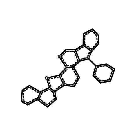 c1ccc(-n2c3ccccc3c3cnc4c(ccc5c6ccc7ccccc7c6oc54)c32)cc1